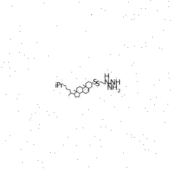 CC(C)CCCC(C)C1CCC2C3CC=C4CC(SSCCNC(=N)N)CCC4(C)C3CCC12C